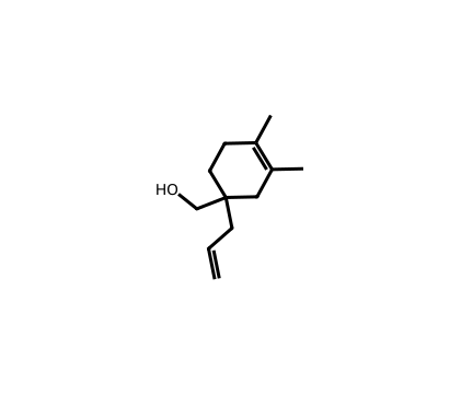 C=CCC1(CO)CCC(C)=C(C)C1